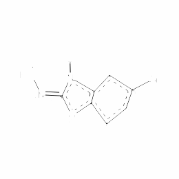 CCn1/c(=N\C(F)(F)F)oc2ccc(Br)cc21